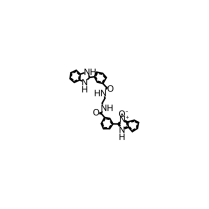 O=C(NCCNC(=O)c1cccc(C2Nc3ccccc3N2)c1)c1cccc(-c2[nH]c3ccccc3[n+]2[O-])c1